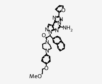 COCCOc1ccc(N2CCN(C(=O)C(c3ccc4ccccc4c3)n3ncc4c3nc(N)n3nc(-c5ccco5)nc43)CC2)cc1